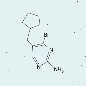 Nc1ncc(CC2CCCC2)c(Br)n1